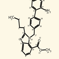 CCCCc1nc2cccc(C(=O)OC)c2n1Cc1ccc(-c2ccccc2N)cc1